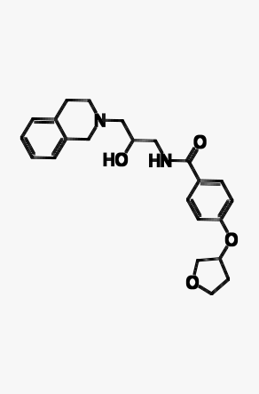 O=C(NCC(O)CN1CCc2ccccc2C1)c1ccc(OC2CCOC2)cc1